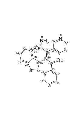 NC(=O)[C@@H](c1cccnc1)N(C(=O)c1ccccc1)[C@@H]1CCc2cccc(F)c21